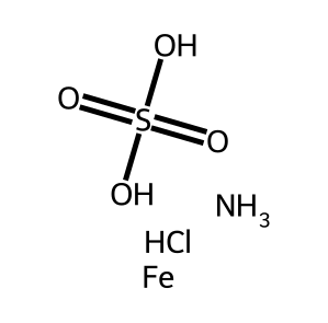 Cl.N.O=S(=O)(O)O.[Fe]